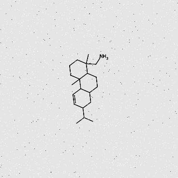 CC(C)C1C=CC2C(CCC3C(C)(CN)CCCC23C)C1